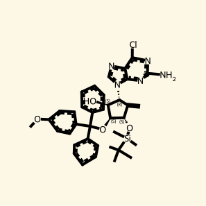 C=C1[C@@H](n2cnc3c(Cl)nc(N)nc32)[C@H](O)[C@H](OC(c2ccccc2)(c2ccccc2)c2ccc(OC)cc2)[C@H]1O[Si](C)(C)C(C)(C)C